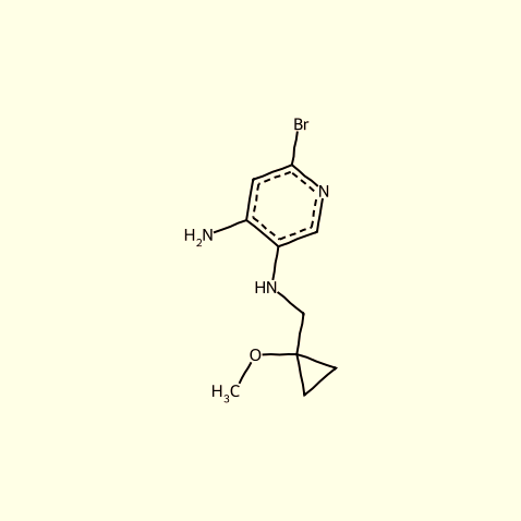 COC1(CNc2cnc(Br)cc2N)CC1